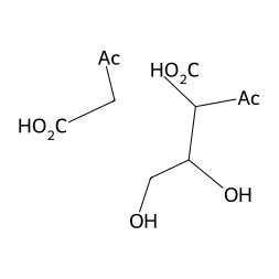 CC(=O)C(C(=O)O)C(O)CO.CC(=O)CC(=O)O